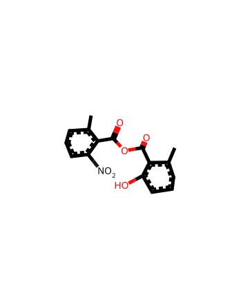 Cc1cccc(O)c1C(=O)OC(=O)c1c(C)cccc1[N+](=O)[O-]